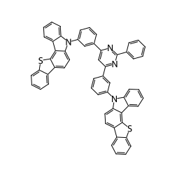 c1ccc(-c2nc(-c3cccc(-n4c5ccccc5c5c6sc7ccccc7c6ccc54)c3)cc(-c3cccc(-n4c5ccccc5c5c6sc7ccccc7c6ccc54)c3)n2)cc1